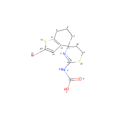 O=C(O)NC1=NC2(CCCc3sc(Br)cc32)CCS1